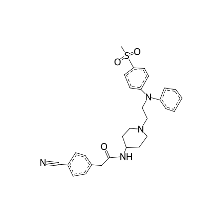 CS(=O)(=O)c1ccc(N(CCN2CCC(NC(=O)Cc3ccc(C#N)cc3)CC2)c2ccccc2)cc1